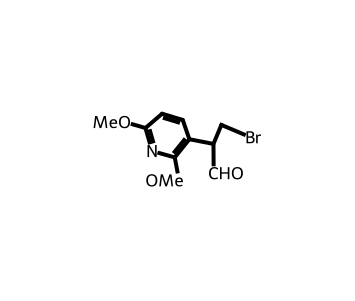 COc1ccc(C(C=O)CBr)c(OC)n1